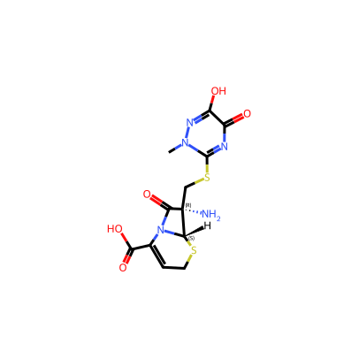 Cn1nc(O)c(=O)nc1SC[C@]1(N)C(=O)N2C(C(=O)O)=CCS[C@H]21